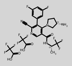 C[C@H](NC(=O)c1cnc(C#N)c(-c2cc(F)cc(F)c2)c1N1CC[C@H](N)C1)C(F)(F)F.O=C(O)C(F)(F)F.O=C(O)C(F)(F)F